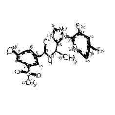 C[C@@H](NC(=O)c1cc(Cl)cc(S(C)(=O)=O)c1)c1ncnn1-c1ncc(F)cc1F